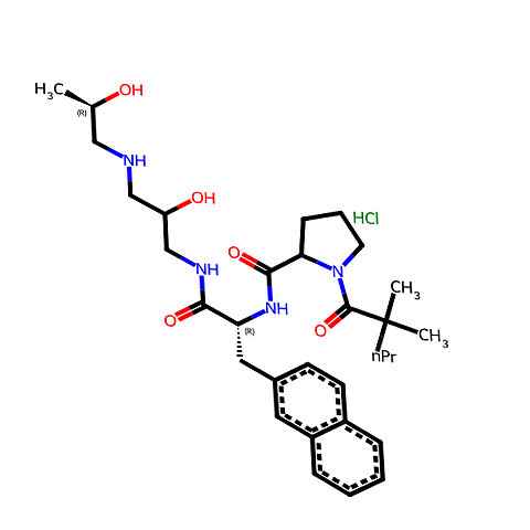 CCCC(C)(C)C(=O)N1CCCC1C(=O)N[C@H](Cc1ccc2ccccc2c1)C(=O)NCC(O)CNC[C@@H](C)O.Cl